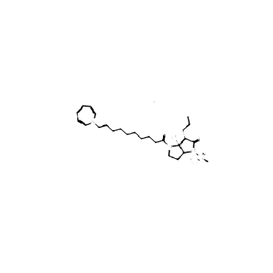 CCC[C@H]1C(=O)N(S(C)(=O)=O)[C@H]2CCN(C(=O)CCCCCCCCCN3C=CC=CC=C3)[C@H]12.Cl